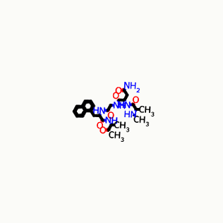 CNC(C)C(=O)NC(CC(N)=O)C(=O)NCC(=O)NC(Cc1cccc2ccccc12)C(=O)NC(C)C(C)=O